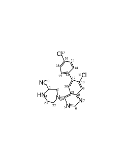 N#CC1CN(c2ncnc3cc(Cl)c(-c4ccc(Cl)cc4)cc23)CCN1